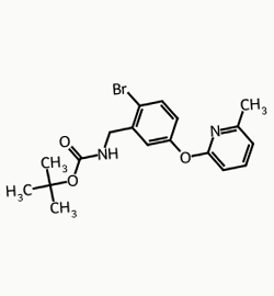 Cc1cccc(Oc2ccc(Br)c(CNC(=O)OC(C)(C)C)c2)n1